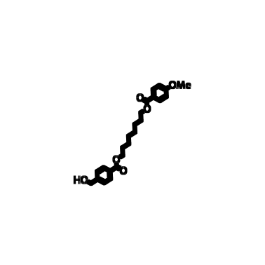 COc1ccc(C(=O)OCCCCCCCCOC(=O)c2ccc(CO)cc2)cc1